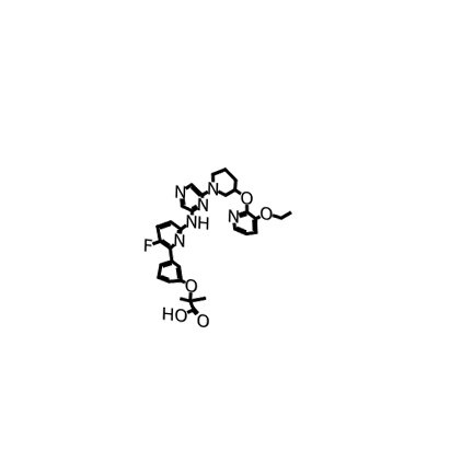 CCOc1cccnc1OC1CCCN(c2cncc(Nc3ccc(F)c(-c4cccc(OC(C)(C)C(=O)O)c4)n3)n2)C1